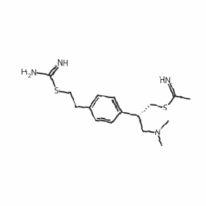 CC(=N)SC[C@H](CN(C)C)c1ccc(CCSC(=N)N)cc1